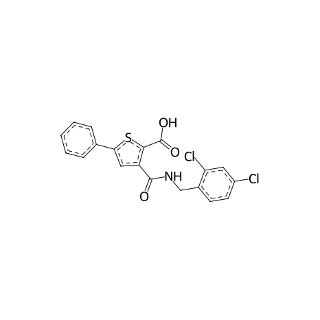 O=C(NCc1ccc(Cl)cc1Cl)c1cc(-c2ccccc2)sc1C(=O)O